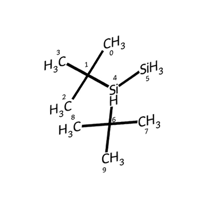 CC(C)(C)[SiH]([SiH3])C(C)(C)C